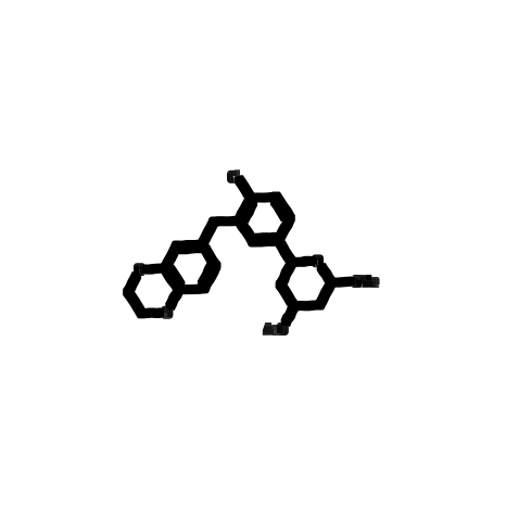 CSC1CC(OC(C)=O)CC(c2ccc(Cl)c(Cc3ccc4c(c3)OCCO4)c2)O1